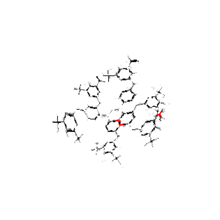 C=C(C)c1cc(CC2=CC(Cc3cc(C(C)(C)C)c(O)c(C(C)(C)C)c3)CC=C2N(CN(c2ccc(Cc3cc(C(=C)C)c(O)c(C(C)(C)C)c3)cc2)c2ccc(Cc3cc(C(C)(C)C)c(O)c(C(C)(C)C)c3)cc2Cc2cc(C(C)(C)C)c(O)c(C(C)(C)C)c2)c2ccc(Cc3cc(C(C)(C)C)c(O)c(C(C)(C)C)c3)cc2)cc(C(C)(C)C)c1O